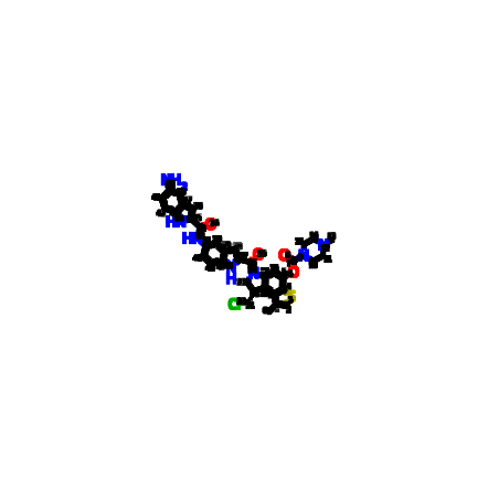 Cc1csc2c(OC(=O)N3CCN(C)CC3)cc3c(c12)[C@H](CCl)CN3C(=O)c1cc2cc(NC(=O)c3cc4cc(N)ccc4[nH]3)ccc2[nH]1